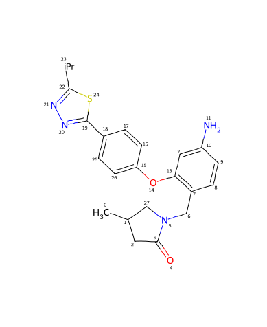 CC1CC(=O)N(Cc2ccc(N)cc2Oc2ccc(-c3nnc(C(C)C)s3)cc2)C1